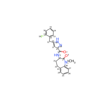 CN1C(=O)C(NC(=O)c2cc(Cc3ccccc3F)[nH]n2)CCc2ccccc21